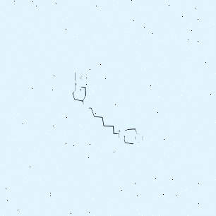 C(CCCN1CCOCC1)CCOC1CCNCC1